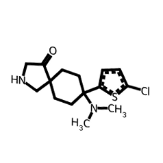 CN(C)C1(c2ccc(Cl)s2)CCC2(CC1)CNCC2=O